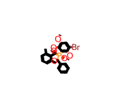 COc1cc(Br)c(OC)c(P(=O)(C(=O)c2ccccc2)C(=O)c2c(C)cccc2C)c1OC